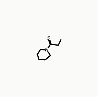 CCC(=S)N1CCCCC1